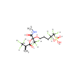 C=C(C(=O)OC(OCCCC(F)(F)C(F)(F)S(=O)(=O)O)(C(=O)NC)C(F)(F)F)C(F)(F)F